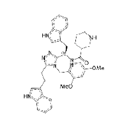 COc1ccc(Cn2c(CCc3c[nH]c4ccccc34)nnc2[C@@H](Cc2c[nH]c3ccccc23)NC(=O)C2CCCNC2)c(OC)c1